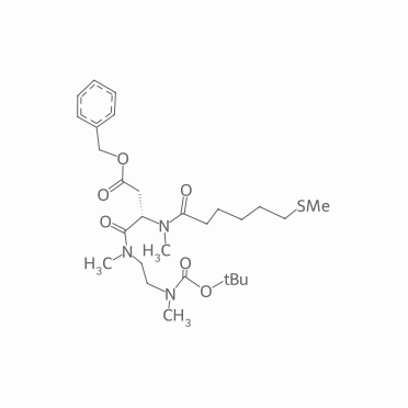 CSCCCCCC(=O)N(C)[C@@H](CC(=O)OCc1ccccc1)C(=O)N(C)CCN(C)C(=O)OC(C)(C)C